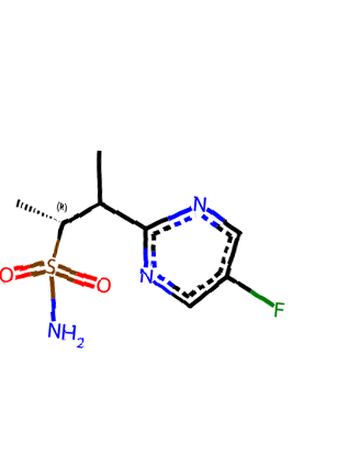 CC(c1ncc(F)cn1)[C@@H](C)S(N)(=O)=O